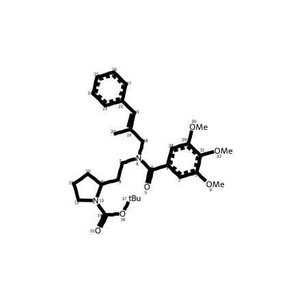 COc1cc(C(=O)N(CCC2CCCN2C(=O)OC(C)(C)C)CC(C)=Cc2ccccc2)cc(OC)c1OC